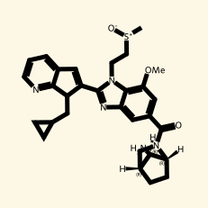 COc1cc(C(=O)N2C[C@H]3CC[C@@H]2[C@@H]3N)cc2nc(C3=Cc4cccnc4C3CC3CC3)n(CC[S+](C)[O-])c12